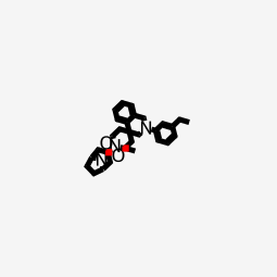 CCOC(=O)N1C2CCC1CC(N1CCC3(CC1)CN(c1cccc(CC)c1)Cc1ccccc13)C2